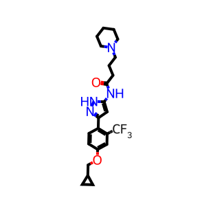 O=C(CCCN1CCCCC1)Nc1cc(-c2ccc(OCC3CC3)cc2C(F)(F)F)n[nH]1